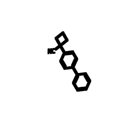 N#CC1(c2ccc(-c3ccccc3)cc2)CCC1